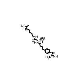 CC(C#N)NCCCCNC(=O)CNC(=O)CCCc1ccc(NC(=N)N)cc1.Cl.Cl